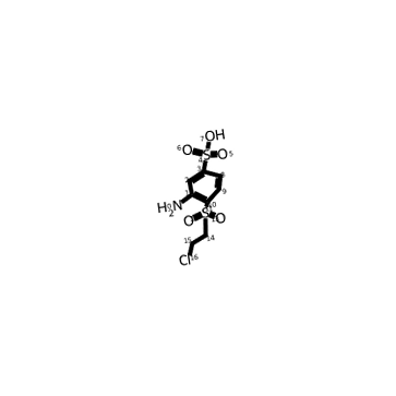 Nc1cc(S(=O)(=O)O)ccc1S(=O)(=O)CCCl